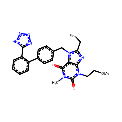 COCCn1c(=O)n(C)c(=O)c2c1nc(CC(C)(C)C)n2Cc1ccc(-c2ccccc2-c2nnn[nH]2)cc1